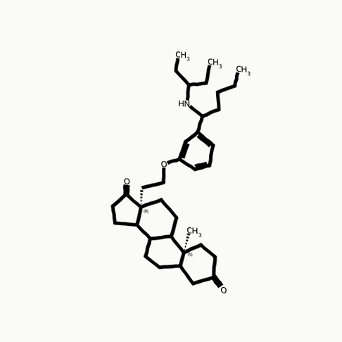 CCCCC(NC(CC)CC)c1cccc(OCC[C@]23CCC4C(CCC5CC(=O)CC[C@@]54C)C2CCC3=O)c1